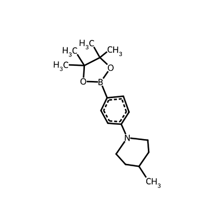 CC1CCN(c2ccc(B3OC(C)(C)C(C)(C)O3)cc2)CC1